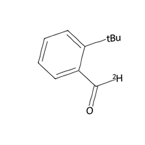 [2H]C(=O)c1ccccc1C(C)(C)C